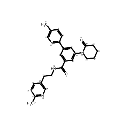 Cc1ccc(-c2cc(C(=O)NCCc3cnc(C)nc3)cc(N3CCCCC3=O)c2)nc1